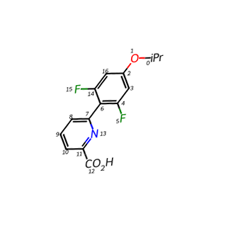 CC(C)Oc1cc(F)c(-c2cccc(C(=O)O)n2)c(F)c1